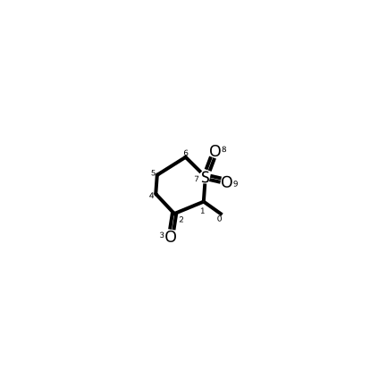 CC1C(=O)CCCS1(=O)=O